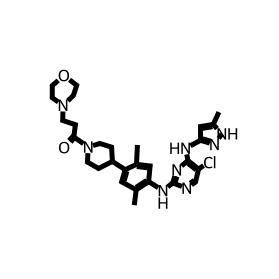 Cc1cc(Nc2nc(Nc3cc(C)c(C4CCN(C(=O)CCN5CCOCC5)CC4)cc3C)ncc2Cl)n[nH]1